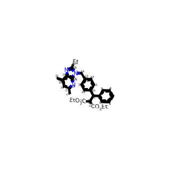 CCOC(=O)C(C(=O)OCC)C(c1ccccc1)c1ccc(Cn2c(CC)nc3c(C)cc(C)nc32)cc1